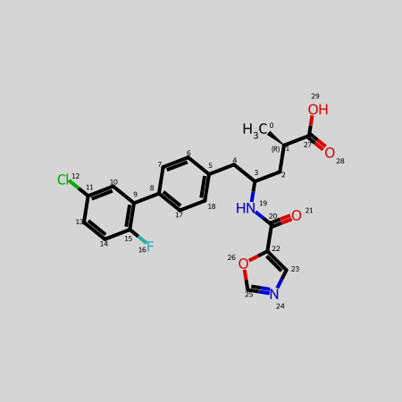 C[C@H](CC(Cc1ccc(-c2cc(Cl)ccc2F)cc1)NC(=O)c1cnco1)C(=O)O